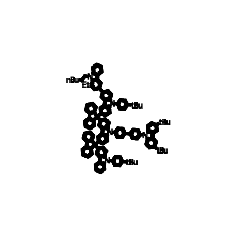 CCCCC(CC)Cn1c2ccccc2c2cc(-c3ccc4c(c3)c3cc(C5(c6ccc7c(c6)c6cc(C8(c9ccc%10c(c9)c9ccccc9n%10-c9ccc(C(C)(C)C)cc9)c9ccccc9-c9ccccc98)ccc6n7-c6ccc(-c7ccc(-n8c9ccc(C(C)(C)C)cc9c9cc(C(C)(C)C)ccc98)cc7)cc6)c6ccccc6-c6ccccc65)ccc3n4-c3ccc(C(C)(C)C)cc3)ccc21